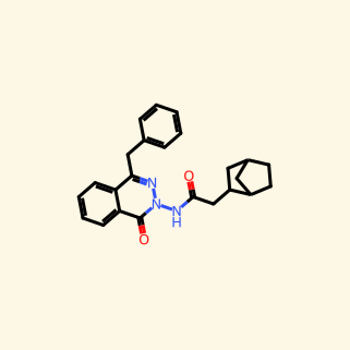 O=C(CC1CC2CCC1C2)Nn1nc(Cc2ccccc2)c2ccccc2c1=O